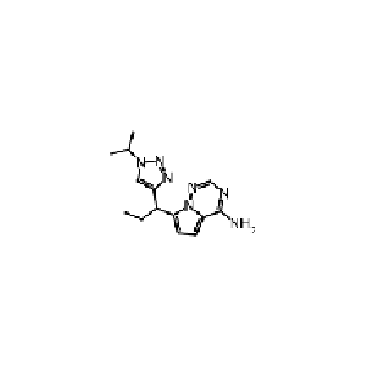 CCC(c1cn(C(C)C)nn1)c1ccc2c(N)ncnn12